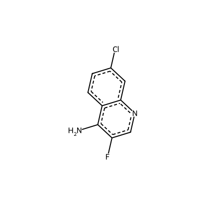 Nc1c(F)cnc2cc(Cl)ccc12